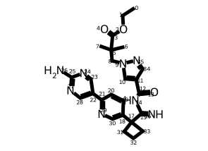 CCOC(=O)C(C)(C)Cn1cc(C(=O)NC(=N)C2(c3ccc(-c4cnc(N)nc4)nc3)CCC2)cn1